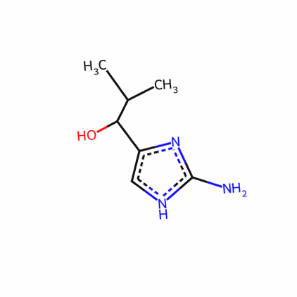 CC(C)C(O)c1c[nH]c(N)n1